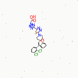 O=C(O)Cn1nnc(-c2nnc(N3CCC4(C=C(c5cccc(Cl)c5Cl)c5ccccc5O4)CC3)s2)n1